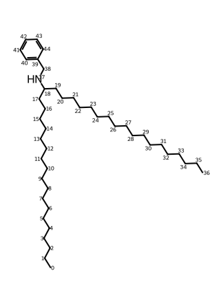 CCCCCCCCCCCCCCCCCCC(CCCCCCCCCCCCCCCCCC)NCc1ccccc1